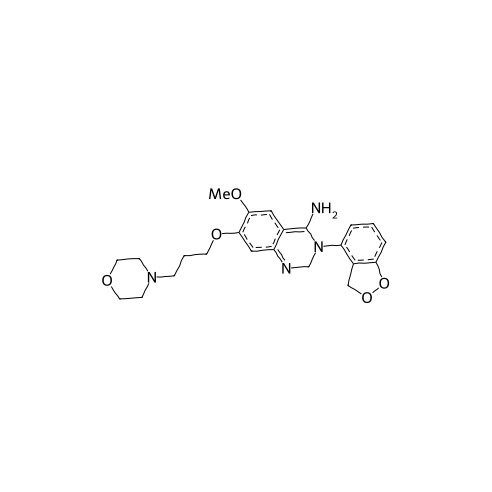 COc1cc2c(cc1OCCCN1CCOCC1)=NCN(c1cccc3c1COO3)C=2N